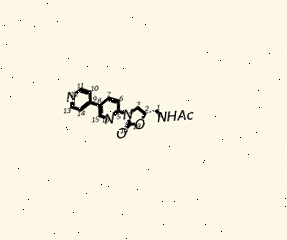 CC(=O)NC[C@H]1CN(c2ccc(-c3ccncc3)cn2)C(=O)O1